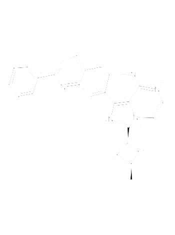 C[C@H]1C[C@@H](c2nc(-c3ccc4ccc(-c5ccccc5)nc4c3)c3c(N)nccn32)C1